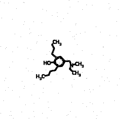 CCCCc1cc(CN(C)CC)cc(CCCC)c1O